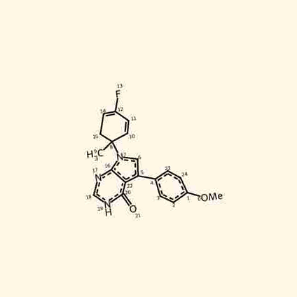 COc1ccc(-c2cn(C3(C)C=CC(F)=CC3)c3nc[nH]c(=O)c23)cc1